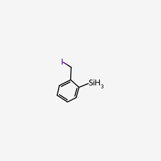 [SiH3]c1ccccc1CI